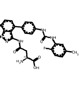 Cc1ccc(F)c(NC(=O)Nc2ccc(-c3cccc4[nH]nc(NC(=O)C[C@H](N)C(=O)O)c34)cc2)c1